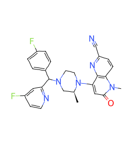 C[C@H]1CN(C(c2ccc(F)cc2)c2cc(F)ccn2)CCN1c1cc(=O)n(C)c2ccc(C#N)nc12